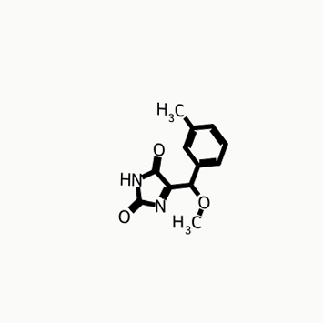 COC(C1=NC(=O)NC1=O)c1cccc(C)c1